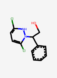 OCC(c1ccccc1)N1NC(Cl)=CC=C1Cl